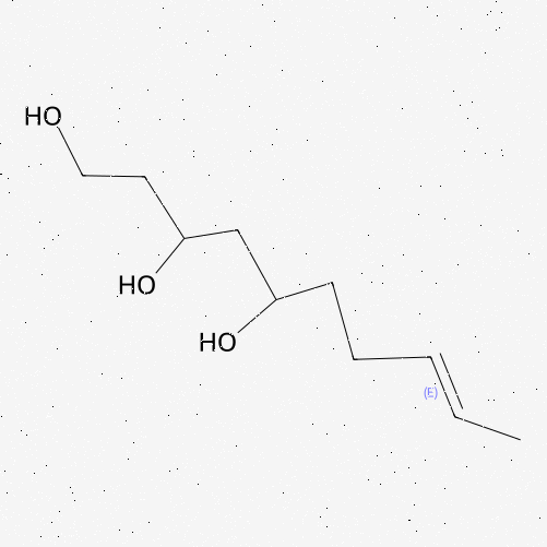 C/C=C/CCC(O)CC(O)CCO